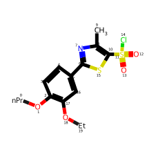 CCCOc1ccc(-c2nc(C)c(S(=O)(=O)Cl)s2)cc1OCC